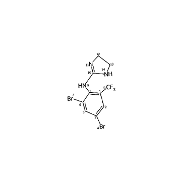 FC(F)(F)c1cc(Br)cc(Br)c1NC1=NCCN1